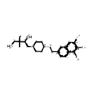 CC(C)(CO)C(O)C[C@H]1CC[C@H](CCc2ccc3c(F)c(F)c(F)cc3c2)CC1